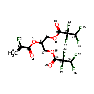 C=C(F)C(=O)OC(COC(=O)C(F)(F)C(F)F)COC(=O)C(F)(F)C(F)F